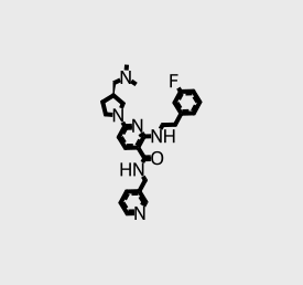 CN(C)C[C@@H]1CCN(c2ccc(C(=O)NCc3cccnc3)c(NCCc3cccc(F)c3)n2)C1